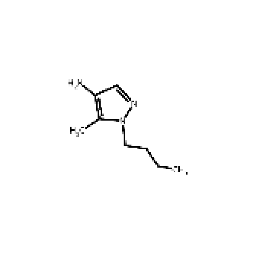 CCCCn1ncc(N)c1C